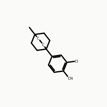 CC12CCC(c3ccc(C#N)c(Cl)c3)(CC1)CC2